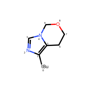 CC(C)(C)c1ncn2c1CCOC2